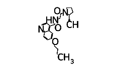 C#CC1CCCN1C(=O)CNC(=O)c1ccnc2ccc(OCCCC)cc12